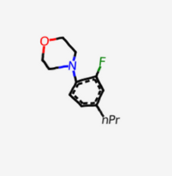 CCCc1ccc(N2CCOCC2)c(F)c1